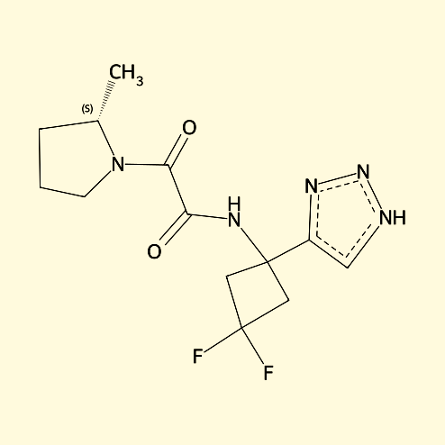 C[C@H]1CCCN1C(=O)C(=O)NC1(c2c[nH]nn2)CC(F)(F)C1